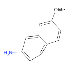 COc1ccc2ccc(N)cc2c1